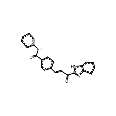 O=C(Nc1ccccc1)c1ccc(C=CC(=O)c2nc3ccccc3[nH]2)cc1